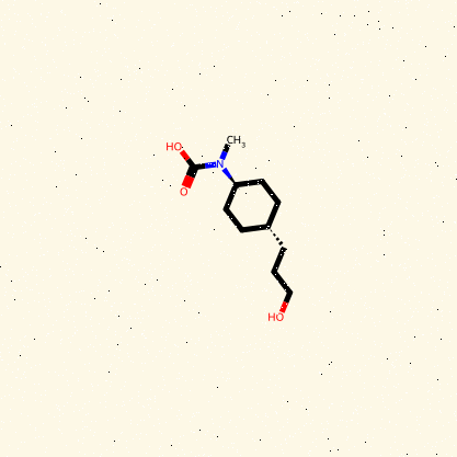 CN(C(=O)O)[C@H]1CC[C@H](CCCO)CC1